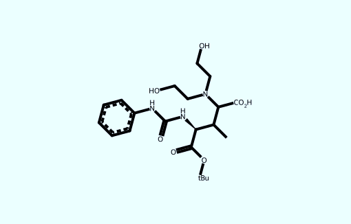 CC(C(C(=O)O)N(CCO)CCO)[C@H](NC(=O)Nc1ccccc1)C(=O)OC(C)(C)C